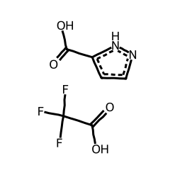 O=C(O)C(F)(F)F.O=C(O)c1ccn[nH]1